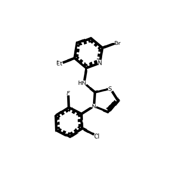 CCc1ccc(Br)nc1NC1SC=CN1c1c(F)cccc1Cl